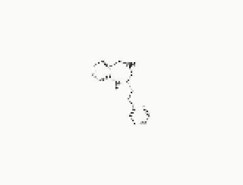 c1ccc(CC[C@H]2CNCc3ccccc3N2)cc1